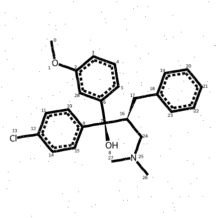 COc1cccc([C@@](O)(c2ccc(Cl)cc2)[C@@H](Cc2ccccc2)CN(C)C)c1